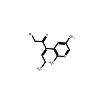 CC/C=C(/C(=O)CBr)c1cc(C)cnc1C